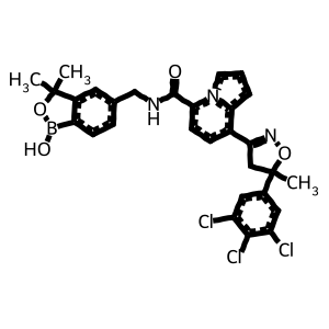 CC1(C)OB(O)c2ccc(CNC(=O)c3ccc(C4=NOC(C)(c5cc(Cl)c(Cl)c(Cl)c5)C4)c4cccn34)cc21